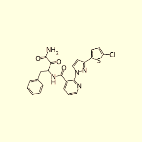 NC(=O)C(=O)C(Cc1ccccc1)NC(=O)c1cccnc1-n1ccc(-c2ccc(Cl)s2)n1